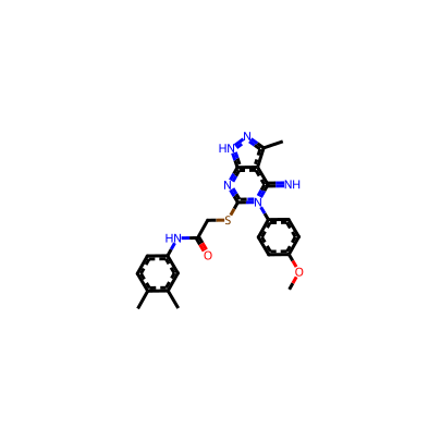 COc1ccc(-n2c(SCC(=O)Nc3ccc(C)c(C)c3)nc3[nH]nc(C)c3c2=N)cc1